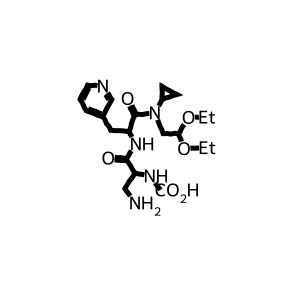 CCOC(CN(C(=O)C(Cc1cccnc1)NC(=O)C(CN)NC(=O)O)C1CC1)OCC